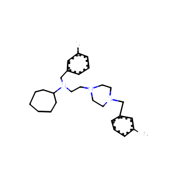 N#Cc1cccc(CN2CCN(CCN(Cc3cccc([N+](=O)[O-])c3)C3CCCCCC3)CC2)c1